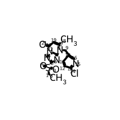 CCS(=O)(=O)c1nc2n(Cc3ccc(Cl)nc3)c(C)cc(=O)n2n1